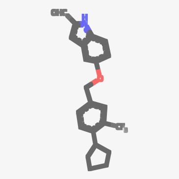 O=Cc1cc2cc(OCc3ccc(C4CCCC4)c(C(F)(F)F)c3)ccc2[nH]1